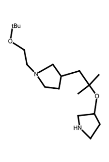 CC(C)(C)OCCN1CCC(CC(C)(C)OC2CCNC2)C1